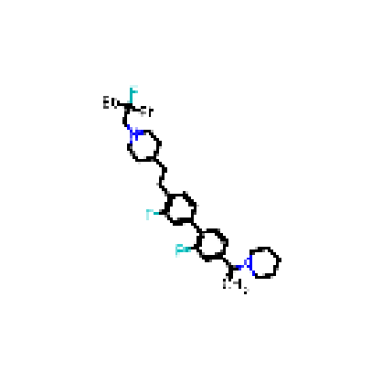 C=C(c1ccc(-c2ccc(CCC3CCN(CC(F)(CC)CC)CC3)c(F)c2)c(F)c1)N1CCCCC1